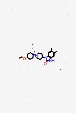 CCO[C@H]1CC[C@](C)(N2CCC(n3c(=O)[nH]c4cc(C)c(C)cc43)CC2)CC1